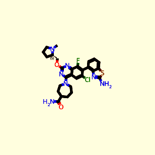 CN1CCC[C@H]1COc1nc(N2CCCC(C(N)=O)CC2)c2cc(Cl)c(-c3cccc4sc(N)nc34)c(F)c2n1